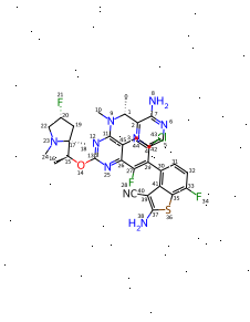 C[C@H](c1nccnc1N)N(C)c1nc(O[C@@H](C)[C@]2(C)C[C@@H](F)CN2C)nc2c(F)c(-c3ccc(F)c4sc(N)c(C#N)c34)c(Cl)cc12